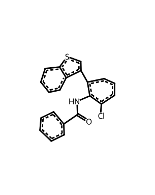 O=C(Nc1c(Cl)cccc1-c1csc2ccccc12)c1ccccc1